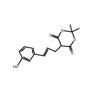 CC1(C)OC(=O)C(CC=Cc2cccc(O)c2)C(=O)O1